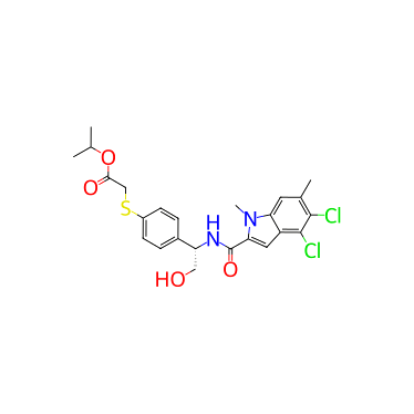 Cc1cc2c(cc(C(=O)N[C@H](CO)c3ccc(SCC(=O)OC(C)C)cc3)n2C)c(Cl)c1Cl